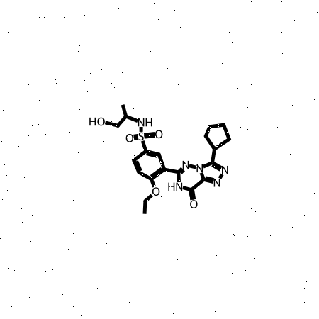 CCOc1ccc(S(=O)(=O)NC(C)CO)cc1-c1nn2c(C3CCCC3)nnc2c(=O)[nH]1